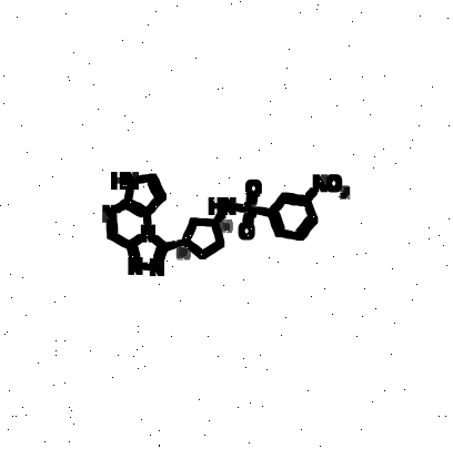 O=[N+]([O-])c1cccc(S(=O)(=O)N[C@H]2CC[C@@H](c3nnc4cnc5[nH]ccc5n34)C2)c1